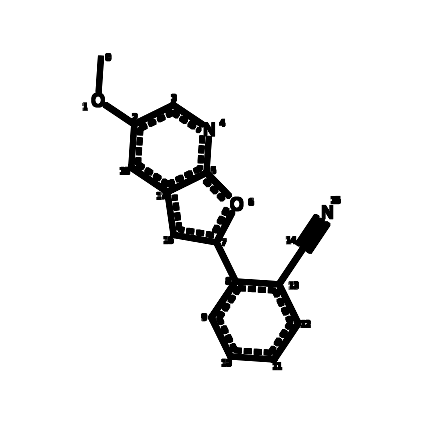 COc1cnc2oc(-c3ccccc3C#N)cc2c1